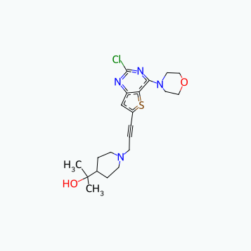 CC(C)(O)C1CCN(CC#Cc2cc3nc(Cl)nc(N4CCOCC4)c3s2)CC1